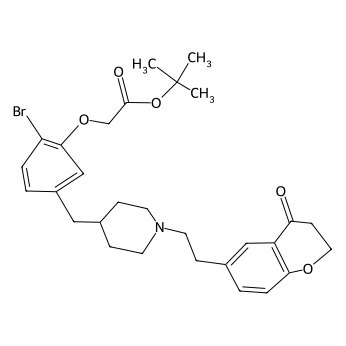 CC(C)(C)OC(=O)COc1cc(CC2CCN(CCc3ccc4c(c3)C(=O)CCO4)CC2)ccc1Br